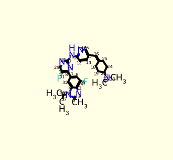 Cc1nc2c(F)cc(-c3nc(Nc4ccc(C=C5CCC(N(C)C)CC5)cn4)ncc3F)cc2n1C(C)C